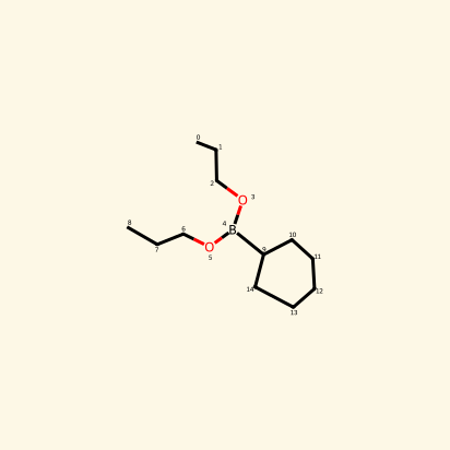 CCCOB(OCCC)C1CCCCC1